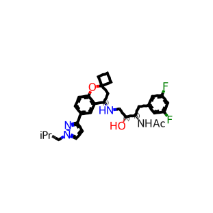 CC(=O)N[C@@H](Cc1cc(F)cc(F)c1)[C@H](O)CN[C@H]1CC2(CCC2)Oc2ccc(-c3ccn(CC(C)C)n3)cc21